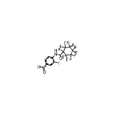 O=C(Nc1ccc([N+](=O)[O-])cc1I)C1(F)C(F)(F)C(F)(F)C(F)(F)C(F)(F)C1(F)F